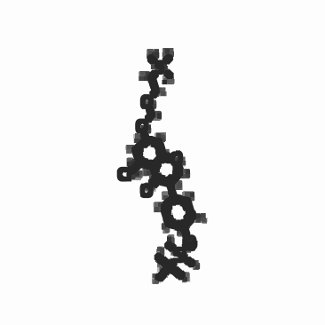 CC(C)(C)[Si](C)(C)Oc1ccc(-c2coc3cc(OCOCC[Si](C)(C)C)cc(Cl)c3c2=O)cc1